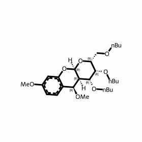 CCCCOC[C@H]1O[C@@H]2Oc3cc(OC)ccc3[C@H](OC)[C@@H]2[C@@H](OCCCC)[C@H]1OCCCC